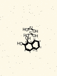 OSO.OSO.Oc1ccc2ccccc2c1O